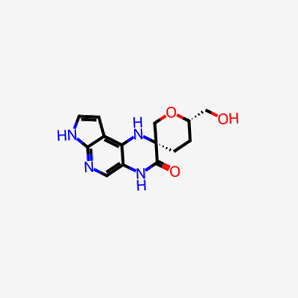 O=C1Nc2cnc3[nH]ccc3c2N[C@]12CC[C@@H](CO)OC2